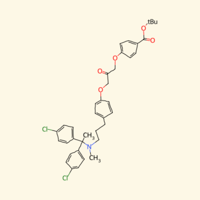 CN(CCCc1ccc(OCC(=O)COc2ccc(C(=O)OC(C)(C)C)cc2)cc1)C(C)(c1ccc(Cl)cc1)c1ccc(Cl)cc1